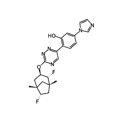 C[C@]12C[C@@H](Oc3ncc(-c4ccc(-n5ccnc5)cc4O)nn3)[C@H](F)[C@](C)(C[C@@H]1F)C2